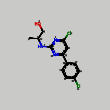 C[C@@H](CO)Nc1nc(Cl)cc(-c2ccc(Cl)cc2)n1